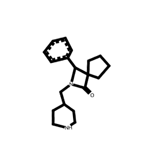 O=C1N(CC2CCNCC2)C(c2ccccc2)C12CCCC2